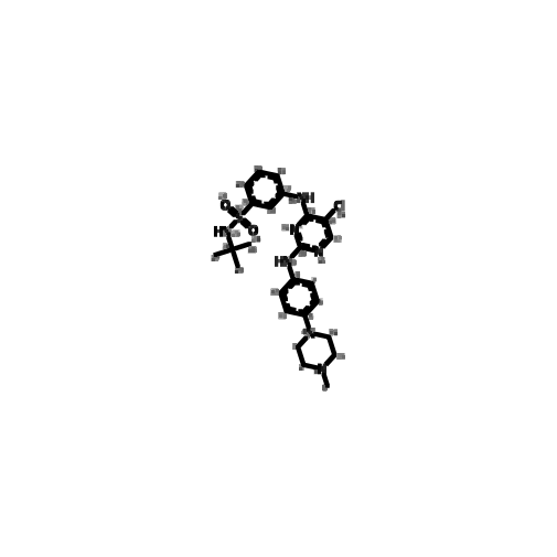 CN1CCN(c2ccc(Nc3ncc(Cl)c(Nc4cccc(S(=O)(=O)NC(C)(C)C)c4)n3)cc2)CC1